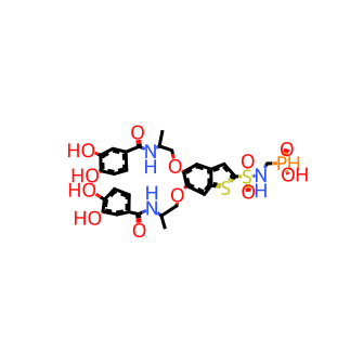 CC(COc1cc2cc(S(=O)(=O)NC[PH](=O)O)sc2cc1OCC(C)NC(=O)c1ccc(O)c(O)c1)NC(=O)c1ccc(O)c(O)c1